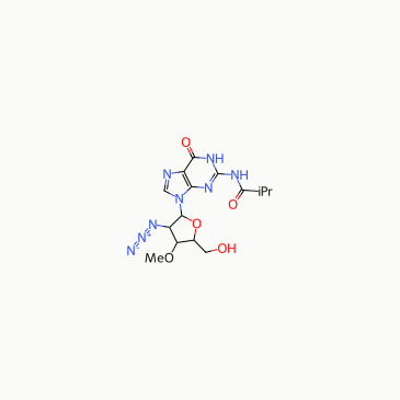 COC1C(CO)OC(n2cnc3c(=O)[nH]c(NC(=O)C(C)C)nc32)C1N=[N+]=[N-]